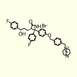 O=C1N[C@](c2ccc(F)cc2)(c2ccc(OCc3ccc(C[N+]45CCN(CC4)CC5)cc3)cc2)[C@H]1CC[C@H](O)c1ccc(F)cc1.[Br-]